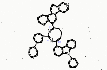 C1=C(c2cccc3c2c2ccccc2n3-c2ccccc2)/N=C(c2cccc(-c3ccccc3)c2)\N=C(\c2cc3c4ccncc4ccc3c3ccccc23)CC\1